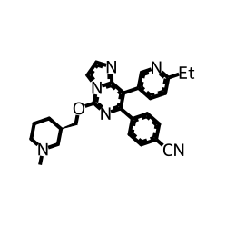 CCc1ccc(-c2c(-c3ccc(C#N)cc3)nc(OC[C@@H]3CCCN(C)C3)n3ccnc23)cn1